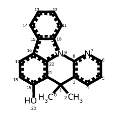 CC1(C)c2cccnc2-n2c3ccccc3c3ccc(O)c1c32